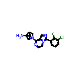 NC12C3CN(c4nccn5c(-c6cccc(Cl)c6Cl)ncc45)C1C32